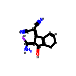 N#CC(C#N)=C1C2=C(CCC=C2)C(=O)/C1=C(\N)I